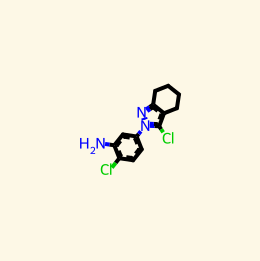 Nc1cc(-n2nc3c(c2Cl)CCCC3)ccc1Cl